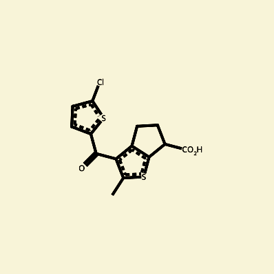 Cc1sc2c(c1C(=O)c1ccc(Cl)s1)CCC2C(=O)O